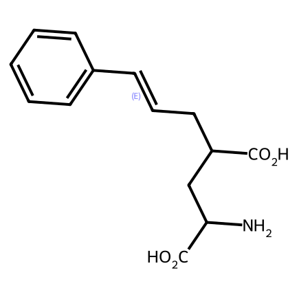 NC(CC(C/C=C/c1ccccc1)C(=O)O)C(=O)O